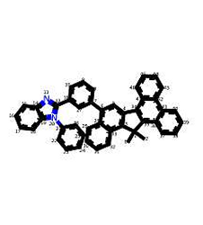 CC1(C)c2c(cc(-c3cccc(-c4nc5ccccc5n4-c4ccccc4)c3)c3ccccc23)-c2c1c1ccccc1c1ccccc21